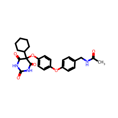 CC(=O)NCc1ccc(Oc2ccc(OC3(C4CCCCC4)C(=O)NC(=O)NC3=O)cc2)cc1